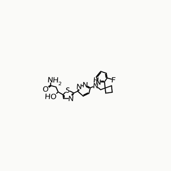 NC(=O)CC(O)c1cnc(-c2ccc(NCC3(c4ncccc4F)CCC3)nn2)s1